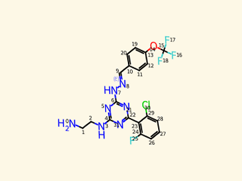 NCCNc1nc(N/N=C/c2ccc(OC(F)(F)F)cc2)nc(-c2c(F)cccc2Cl)n1